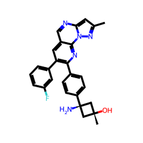 Cc1cc2ncc3cc(-c4cccc(F)c4)c(-c4ccc([C@]5(N)C[C@](C)(O)C5)cc4)nc3n2n1